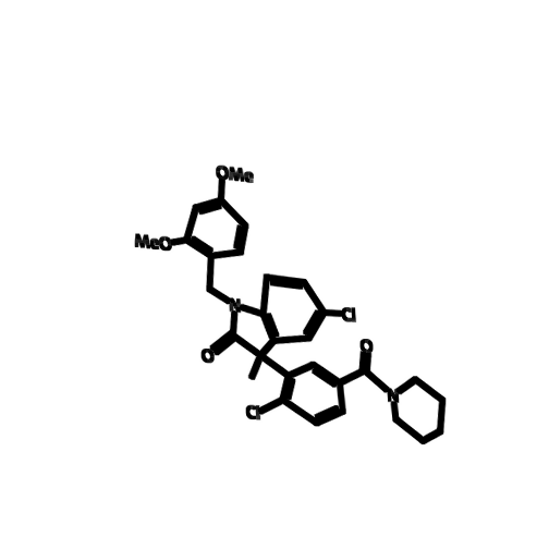 COc1ccc(CN2C(=O)C(C)(c3cc(C(=O)N4CCCCC4)ccc3Cl)c3cc(Cl)ccc32)c(OC)c1